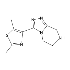 Cc1nc(-c2nnc3n2CCNC3)c(C)s1